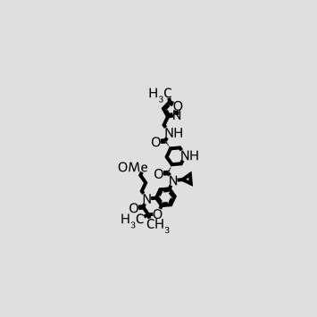 COCCCN1C(=O)C(C)(C)Oc2ccc(N(C(=O)[C@H]3CNC[C@@H](C(=O)NCc4cc(C)on4)C3)C3CC3)cc21